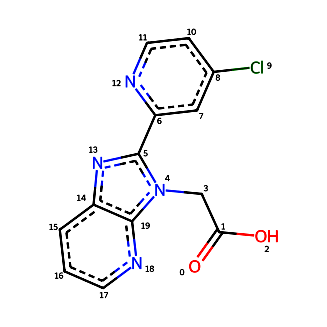 O=C(O)Cn1c(-c2cc(Cl)ccn2)nc2cccnc21